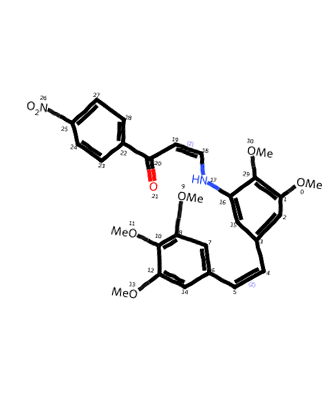 COc1cc(/C=C\c2cc(OC)c(OC)c(OC)c2)cc(N/C=C\C(=O)c2ccc([N+](=O)[O-])cc2)c1OC